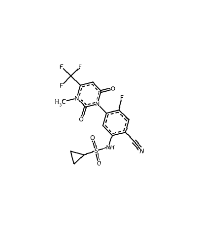 Cn1c(C(F)(F)F)cc(=O)n(-c2cc(NS(=O)(=O)C3CC3)c(C#N)cc2F)c1=O